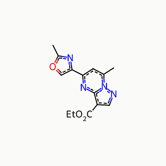 CCOC(=O)c1cnn2c(C)cc(-c3coc(C)n3)nc12